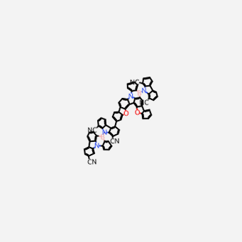 N#Cc1ccc2c3cccc4c3n(c2c1)-c1ccccc1B4n1c2c(C#N)cccc2c2c(-c3ccc4c(c3)oc3c4ccc4c3c3c5oc6ccccc6c5cc5c3n4-c3ccccc3B5n3c4c(C#N)cccc4c4cccc(C#N)c43)ccc(C#N)c21